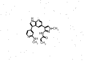 C=CC(=O)Nc1nn(C)cc1-c1cnc2[nH]cc(-c3ccnc(NC)c3)c2c1